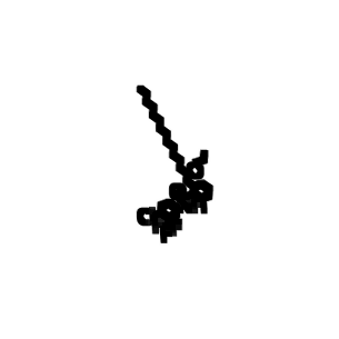 CCCCCCCCCCCCCC(Cc1ccccc1C(=O)Nc1ccc(Cl)c(C(F)(F)F)c1)OCCC